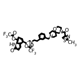 Cc1nc(C(=O)N2CCOC3(CCN(Cc4cccc(CCNC[C@H](OC(=O)C(F)(F)F)c5ccc(OC(=O)C(F)(F)F)c6[nH]c(=O)ccc56)c4)CC3)C2)cs1